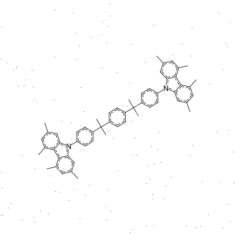 Cc1cc(C)c2c3c(C)cc(C)cc3n(-c3ccc(C(C)(C)c4ccc(C(C)(C)c5ccc(-n6c7cc(C)cc(C)c7c7c(C)cc(C)cc76)cc5)cc4)cc3)c2c1